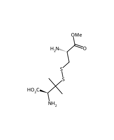 COC(=O)[C@@H](N)CSSC(C)(C)[C@@H](N)C(=O)O